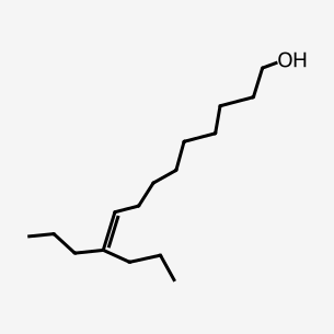 CCCC(=CCCCCCCCCO)CCC